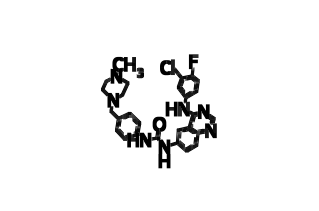 CN1CCN(Cc2ccc(NC(=O)Nc3ccc4ncnc(Nc5ccc(F)c(Cl)c5)c4c3)cc2)CC1